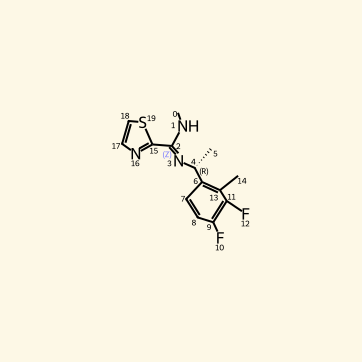 CN/C(=N\[C@H](C)c1ccc(F)c(F)c1C)c1nccs1